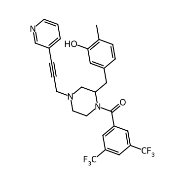 Cc1ccc(CC2CN(CC#Cc3cccnc3)CCN2C(=O)c2cc(C(F)(F)F)cc(C(F)(F)F)c2)cc1O